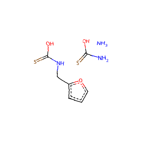 N.NC(O)=S.OC(=S)NCc1ccco1